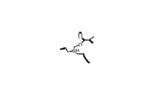 C=CC[SiH](CC=C)COC(=O)C(=C)C